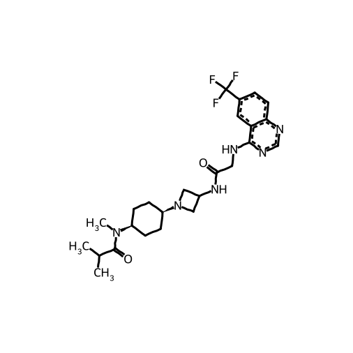 CC(C)C(=O)N(C)[C@H]1CC[C@@H](N2CC(NC(=O)CNc3ncnc4ccc(C(F)(F)F)cc34)C2)CC1